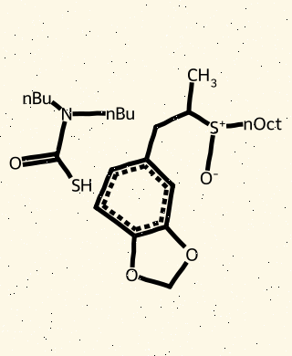 CCCCCCCC[S+]([O-])C(C)Cc1ccc2c(c1)OCO2.CCCCN(CCCC)C(=O)S